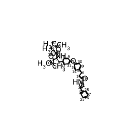 CN(C)C(=O)[C@H](Cc1ccc(Oc2ccc(CCC(=O)NOCc3ccccc3)cc2)cc1)NC(=O)OC(C)(C)C